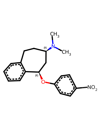 CN(C)[C@@H]1CCc2ccccc2[C@H](Oc2ccc([N+](=O)[O-])cc2)C1